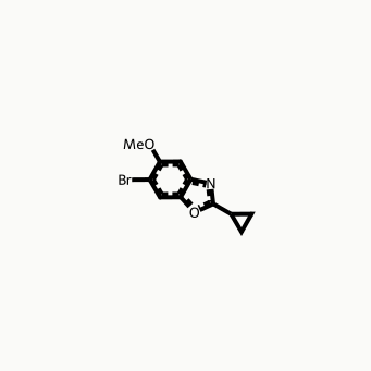 COc1cc2nc(C3CC3)oc2cc1Br